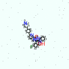 CN1CCC(c2ccc(-c3ccc4c(n3)C(=O)N([C@@H](c3nc5ccccc5[nH]3)c3cc(F)ccc3O)C4)cc2)CC1